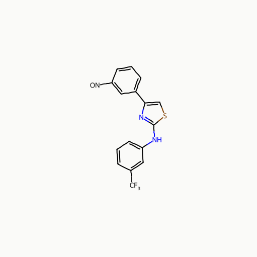 O=Nc1cccc(-c2csc(Nc3cccc(C(F)(F)F)c3)n2)c1